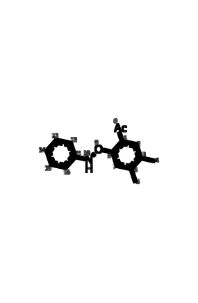 CC(=O)c1cc(C)c(C)cc1ONc1ccccc1